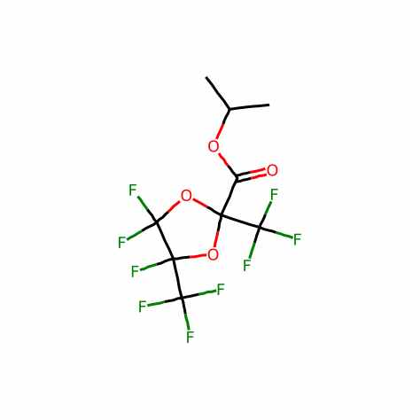 CC(C)OC(=O)C1(C(F)(F)F)OC(F)(F)C(F)(C(F)(F)F)O1